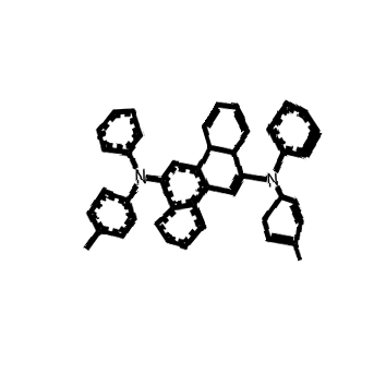 CC1=CCC(N(C2=Cc3c(cc(N(c4ccccc4)c4ccc(C)cc4)c4ccccc34)C3C=CC=CC23)c2c#cccc2)C=C1